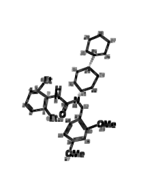 CCc1cccc(CC)c1NC(=O)N(Cc1ccc(OC)cc1OC)[C@H]1CC[C@@H](C2CCCCC2)CC1